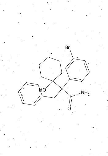 NC(=O)C(Cc1ccccc1)(c1cccc(Br)c1)C1(O)CCCCC1